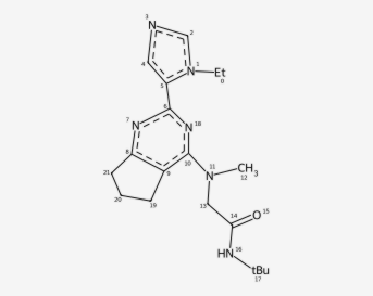 CCn1cncc1-c1nc2c(c(N(C)CC(=O)NC(C)(C)C)n1)CCC2